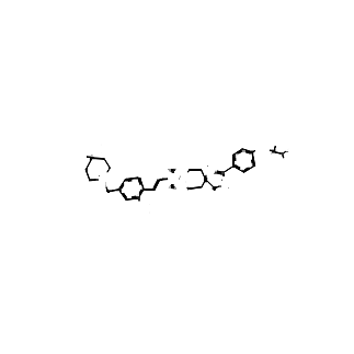 Cc1cc(C(=O)N2CCC(C)(O)CC2)cc(C)c1/C=C/S(=O)(=O)N1CCC2(CC1)N=C(c1ccc(OC(F)(F)C(F)F)cc1)NC2=O